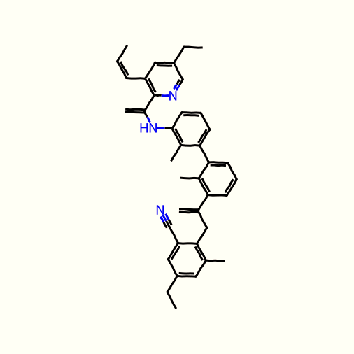 C=C(Cc1c(C)cc(CC)cc1C#N)c1cccc(-c2cccc(NC(=C)c3ncc(CC)cc3/C=C\C)c2C)c1C